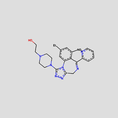 CCc1cc2c(c([N+](=O)[O-])c1)C(c1ccccn1)=NCc1nnc(N3CCN(CCO)CC3)n1-2